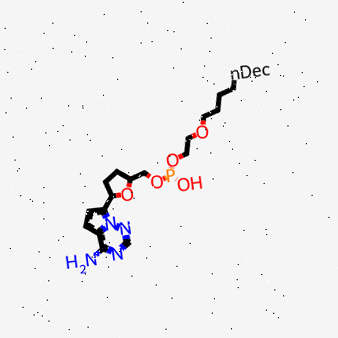 CCCCCCCCCCCCCCOCCOP(O)OCC1CCC(c2ccc3c(N)ncnn23)O1